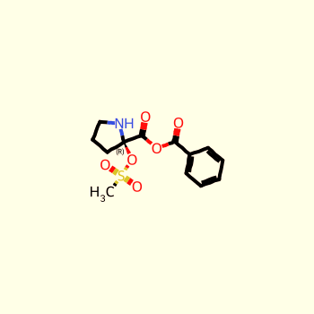 CS(=O)(=O)O[C@@]1(C(=O)OC(=O)c2ccccc2)CCCN1